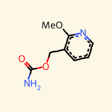 COc1ncccc1COC(N)=O